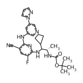 C[C@H](NC(=O)OC(C)(C)C)C(Nc1nc(Nc2cncc(-n3cccn3)c2)c(C#N)cc1F)C1CCC1